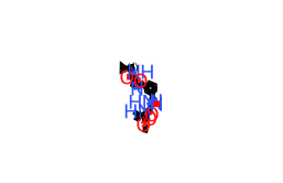 CCOC(=O)[C@@H](NC(=O)c1nnc(-c2cccc(-c3ncc(C(=O)N[C@@H](C)C4CC4)o3)c2)[nH]1)C(C)C